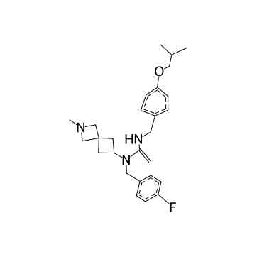 C=C(NCc1ccc(OCC(C)C)cc1)N(Cc1ccc(F)cc1)C1CC2(C1)CN(C)C2